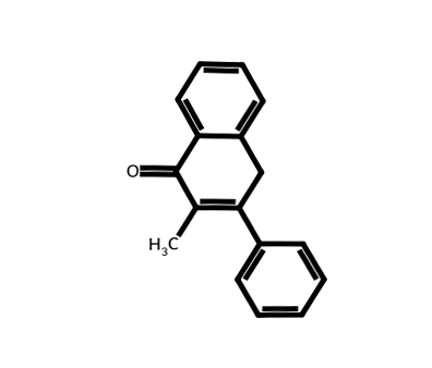 CC1=C(c2ccccc2)Cc2ccccc2C1=O